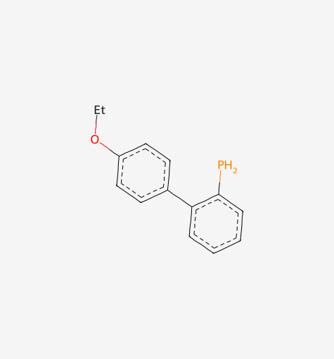 CCOc1ccc(-c2ccccc2P)cc1